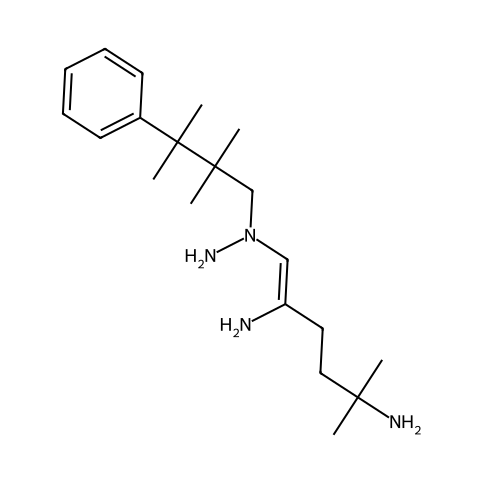 CC(C)(N)CC/C(N)=C/N(N)CC(C)(C)C(C)(C)c1ccccc1